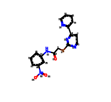 O=C(CSc1nccc(-c2ccccn2)n1)Nc1cccc([N+](=O)[O-])c1